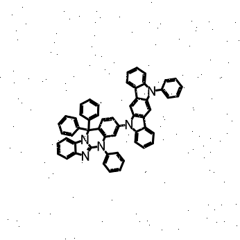 c1ccc(N2c3cc(-n4c5ccccc5c5cc6c(cc54)c4ccccc4n6-c4ccccc4)ccc3C(c3ccccc3)(c3ccccc3)n3c2nc2ccccc23)cc1